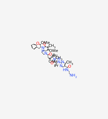 CC[C@H](C)[C@@H]([C@@H](CC(=O)N1CCCC1[C@H](OC)[C@@H](C)C(=O)NC(Cc1ccccc1)C(=O)OC)OC)N(C)C(=O)C(Nc1ncc(C(=O)NCCN)c(C)n1)C(C)C